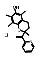 C=C(c1ccccn1)C1(C)CCc2c(C)c(O)c(C)c(C)c2O1.Cl